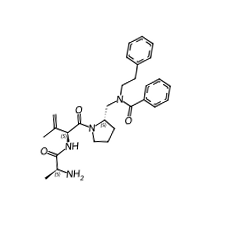 C=C(C)[C@H](NC(=O)[C@H](C)N)C(=O)N1CCC[C@H]1CN(CCc1ccccc1)C(=O)c1ccccc1